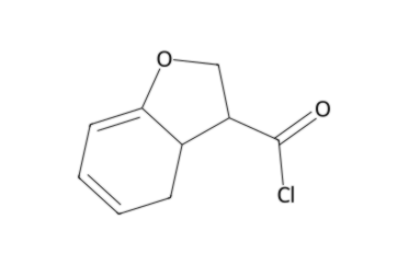 O=C(Cl)C1COC2=CC=CCC21